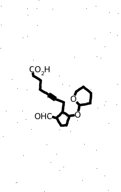 O=CC1CCC(OC2CCCCO2)C1CC#CCCCC(=O)O